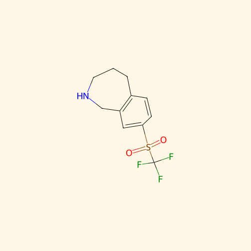 O=S(=O)(c1ccc2c(c1)CNCCC2)C(F)(F)F